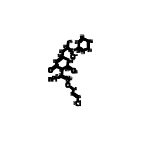 CCCC(=NOCC=CCl)C1C(=O)C=C(CC(C)[S+]([O-])c2ccccc2)CC1=O